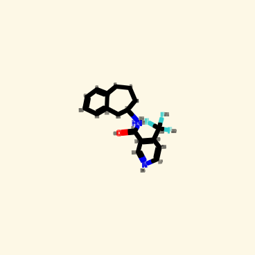 O=C(NC1CCCc2ccccc2C1)c1cnccc1C(F)(F)F